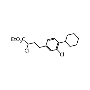 CCOC(=O)C(Cl)CCc1ccc(C2CCCCC2)c(Cl)c1